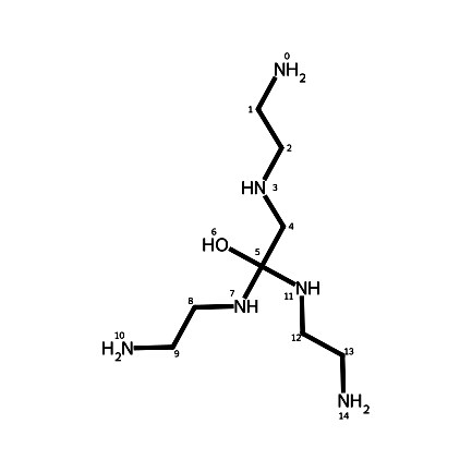 NCCNCC(O)(NCCN)NCCN